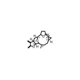 C=C1O[C@H]2C3O[C@@H](C[C@H]2C1=C)C1CC[C@H](O1)[C@]1(C)C[C@H]1CC[C@H]3C